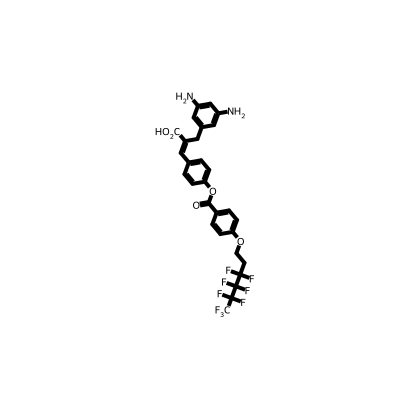 Nc1cc(N)cc(C/C(=C\c2ccc(OC(=O)c3ccc(OCCC(F)(F)C(F)(F)C(F)(F)C(F)(F)F)cc3)cc2)C(=O)O)c1